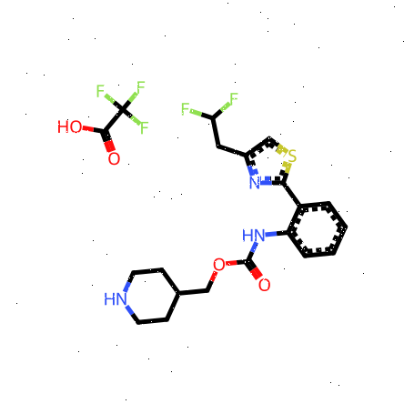 O=C(Nc1ccccc1-c1nc(CC(F)F)cs1)OCC1CCNCC1.O=C(O)C(F)(F)F